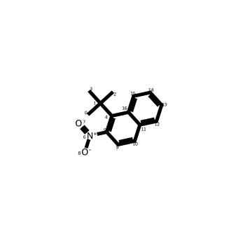 CC(C)(C)c1c([N+](=O)[O-])ccc2ccccc12